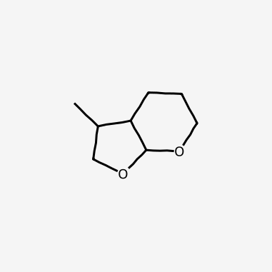 CC1COC2OCCCC12